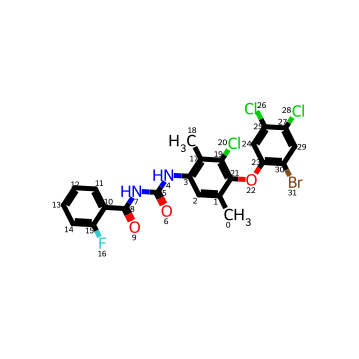 Cc1cc(NC(=O)NC(=O)c2ccccc2F)c(C)c(Cl)c1Oc1cc(Cl)c(Cl)cc1Br